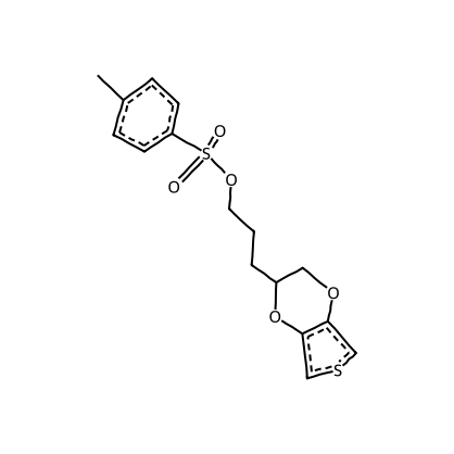 Cc1ccc(S(=O)(=O)OCCCC2COc3cscc3O2)cc1